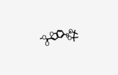 COC(=O)c1cc2cc(B3OC(C)(C)C(C)(C)O3)ccc2o1